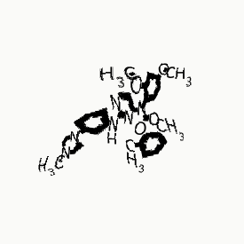 COc1ccc(N(C(=O)Oc2c(C)cccc2C)c2ccnc(Nc3cccc(N4CCN(C)CC4)c3)n2)c(OC)c1